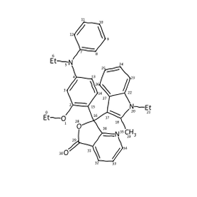 CCOc1cc(N(CC)c2ccccc2)ccc1C1(c2c(C)n(CC)c3ccccc23)OC(=O)c2cccnc21